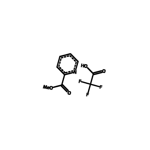 COC(=O)c1ccccn1.O=C(O)C(F)(F)F